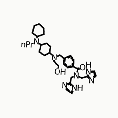 CCCN(C1CCCCC1)C1CCC(N(CCO)Cc2ccc(C(=O)N(Cc3ncc[nH]3)Cc3ncc[nH]3)cc2)CC1